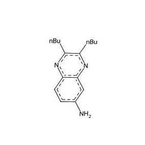 CCCCc1nc2ccc(N)cc2nc1CCCC